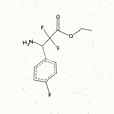 CCOC(=O)C(F)(F)C(N)c1ccc(F)cc1